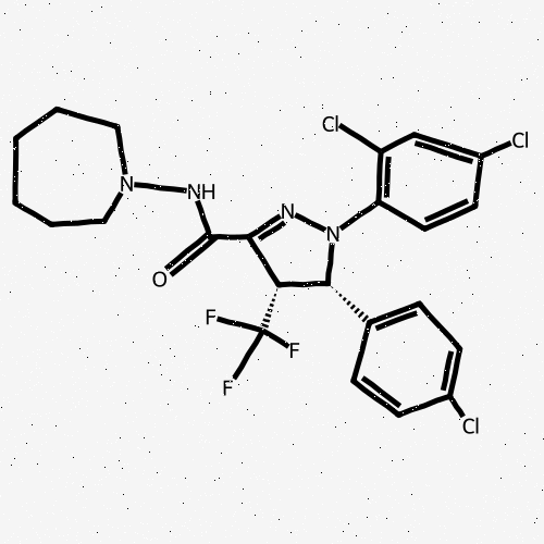 O=C(NN1CCCCCC1)C1=NN(c2ccc(Cl)cc2Cl)[C@H](c2ccc(Cl)cc2)[C@@H]1C(F)(F)F